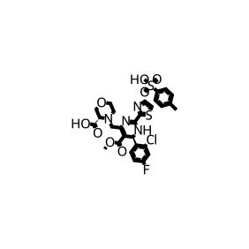 COC(=O)C1=C(CN2CCOC[C@H]2C(=O)O)N=C(c2nccs2)N[C@H]1c1ccc(F)cc1Cl.Cc1ccc(S(=O)(=O)O)cc1